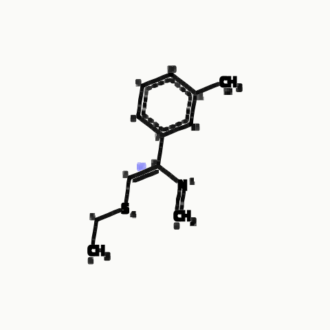 C=N/C(=C\SCC)c1cccc(C)c1